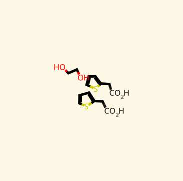 O=C(O)Cc1cccs1.O=C(O)Cc1cccs1.OCCO